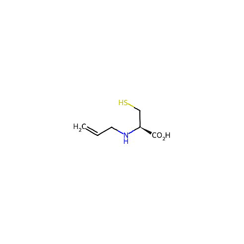 C=CCN[C@@H](CS)C(=O)O